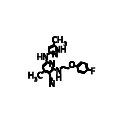 Cc1cc(Nc2cc(C)c(C#N)c(NCCOc3ccc(F)cc3)n2)n[nH]1